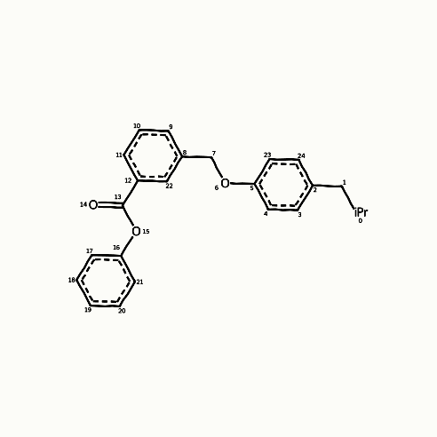 CC(C)Cc1ccc(OCc2cccc(C(=O)Oc3ccccc3)c2)cc1